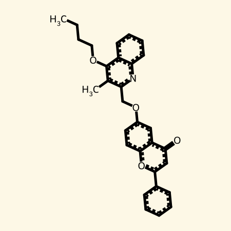 CCCCOc1c(C)c(COc2ccc3oc(-c4ccccc4)cc(=O)c3c2)nc2ccccc12